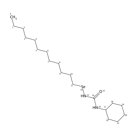 CCCCCCCCCCCC[Se]NC(=O)NC1CCCCC1